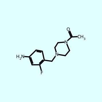 CC(=O)N1CCN(Cc2ccc(N)cc2F)CC1